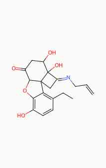 C=CC/N=C1\CC23c4c(CC)ccc(O)c4OC2C(=O)CC(O)C13O